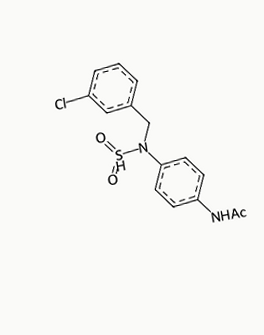 CC(=O)Nc1ccc(N(Cc2cccc(Cl)c2)[SH](=O)=O)cc1